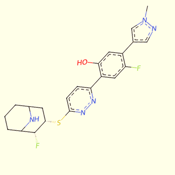 Cn1cc(-c2cc(O)c(-c3ccc(S[C@H]4CC5CCCC(N5)[C@H]4F)nn3)cc2F)cn1